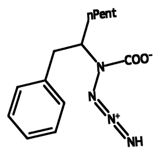 CCCCCC(Cc1ccccc1)N(N=[N+]=N)C(=O)[O-]